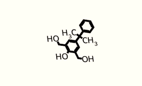 CC(C)(c1ccccc1)c1cc(CO)c(O)c(CO)c1